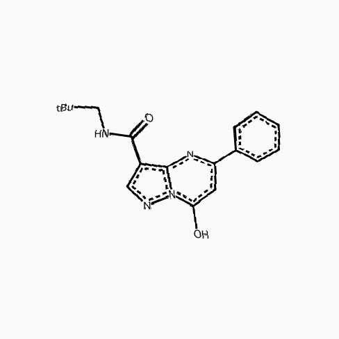 CC(C)(C)CNC(=O)c1cnn2c(O)cc(-c3ccccc3)nc12